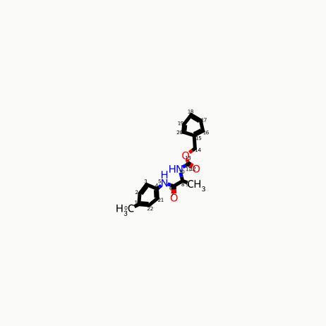 Cc1ccc(NC(=O)C(C)NC(=O)OCc2ccccc2)cc1